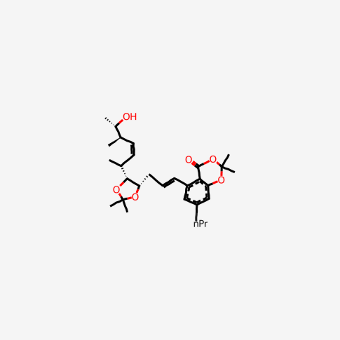 CCCc1cc(/C=C/C[C@@H]2OC(C)(C)O[C@@H]2C(C)/C=C\[C@@H](C)[C@H](C)O)c2c(c1)OC(C)(C)OC2=O